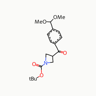 COC(OC)c1ccc(C(=O)C2CN(C(=O)OC(C)(C)C)C2)cc1